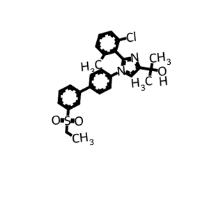 CCS(=O)(=O)c1cccc(-c2ccc(-n3cc(C(C)(C)O)nc3-c3c(C)cccc3Cl)cc2)c1